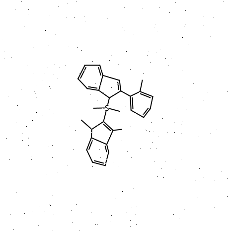 CC1=C(S(C)(C)C2C(c3ccccc3C)=Cc3ccccc32)C(C)c2ccccc21